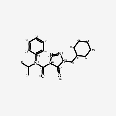 CC(C)N(C(=O)n1nnn(CC2CCCCC2)c1=O)c1ccccc1